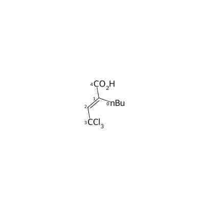 CCCC/C(=C\C(Cl)(Cl)Cl)C(=O)O